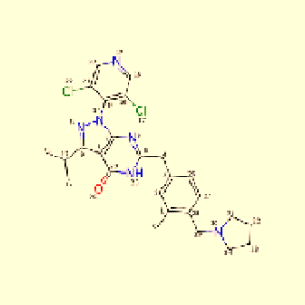 Cc1cc(Cc2nc3c(c(C(C)C)nn3-c3c(Cl)cncc3Cl)c(=O)[nH]2)ccc1CN1CCCC1